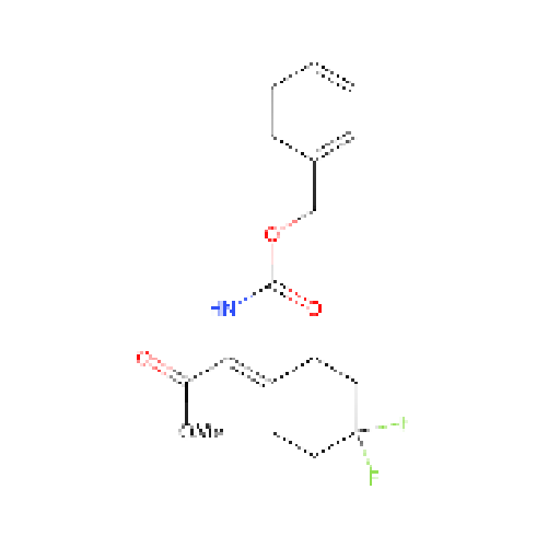 COC(=O)C(NC(=O)OCc1ccccc1)=C1CCC(F)(F)CC1